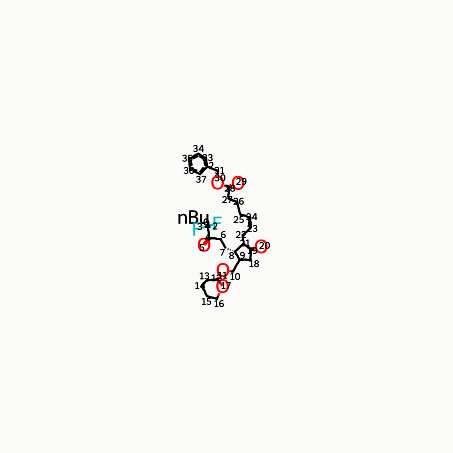 CCCCC(F)(F)C(=O)CC[C@H]1C(COC2CCCCO2)CC(=O)[C@@H]1C/C=C\CCCC(=O)OCc1ccccc1